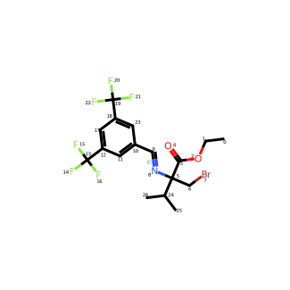 CCOC(=O)C(CBr)(/N=C/c1cc(C(F)(F)F)cc(C(F)(F)F)c1)C(C)C